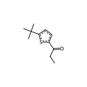 CCC(=O)c1ccc(C(C)(C)C)s1